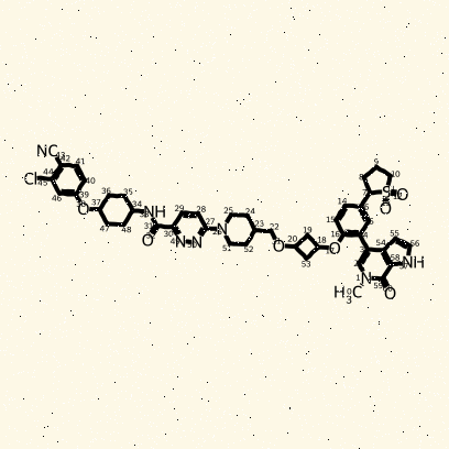 Cn1cc(-c2cc(C3CCCS3(=O)=O)ccc2OC2CC(OCC3CCN(c4ccc(C(=O)NC5CCC(Oc6ccc(C#N)c(Cl)c6)CC5)nn4)CC3)C2)c2cc[nH]c2c1=O